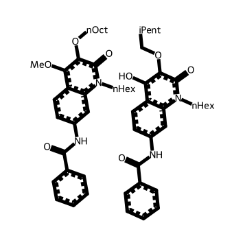 CCCCCCCCOc1c(OC)c2ccc(NC(=O)c3ccccc3)cc2n(CCCCCC)c1=O.CCCCCCn1c(=O)c(OCC(C)CCC)c(O)c2ccc(NC(=O)c3ccccc3)cc21